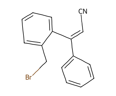 N#CC=C(c1ccccc1)c1ccccc1CBr